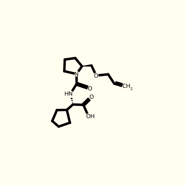 C=CCOC[C@@H]1CCCN1C(=O)N[C@H](C(=O)O)C1CCCC1